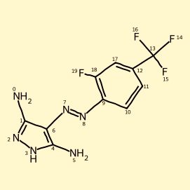 Nc1n[nH]c(N)c1N=Nc1ccc(C(F)(F)F)cc1F